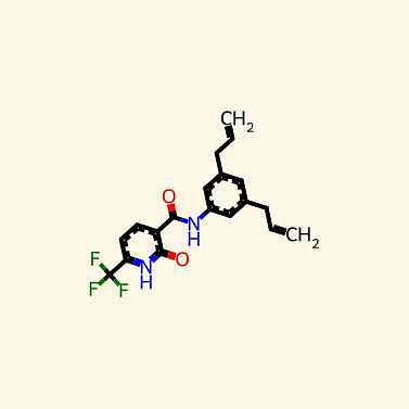 C=CCc1cc(CC=C)cc(NC(=O)c2ccc(C(F)(F)F)[nH]c2=O)c1